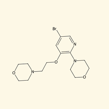 Brc1cnc(N2CCOCC2)c(OCCN2CCOCC2)c1